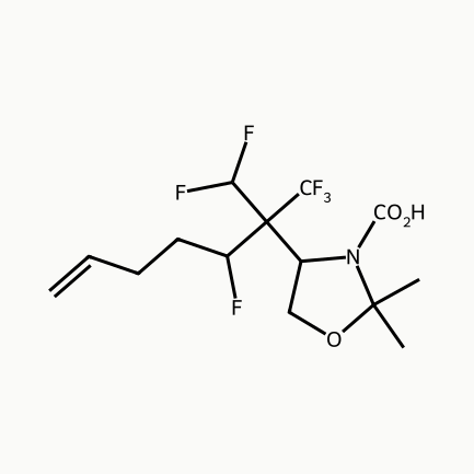 C=CCCC(F)C(C(F)F)(C1COC(C)(C)N1C(=O)O)C(F)(F)F